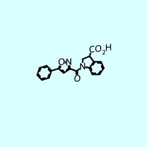 O=C(O)C1CN(C(=O)c2cc(-c3ccccc3)on2)c2ccccc21